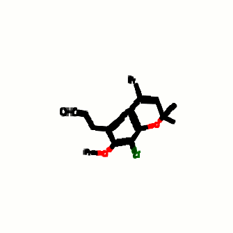 CC(C)Oc1c(CCC=O)cc2c(c1Cl)OC(C)(C)C=C2C(C)C